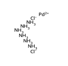 N.N.N.N.N.N.[Cl-].[Cl-].[Pd+2]